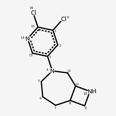 Clc1cc(N2CCCC3CNC3C2)cnc1Cl